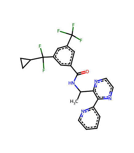 CC(NC(=O)c1cc(C(F)(F)F)cc(C(F)(F)C2CC2)c1)c1nccnc1-c1ccccn1